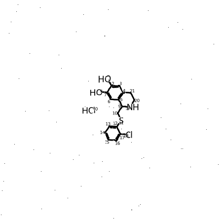 Cl.Oc1cc2c(cc1O)C(CSc1ccccc1Cl)NCC2